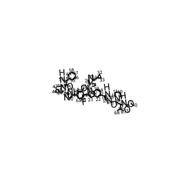 COC(=O)NC(C(=O)N1CCC[C@H]1c1ncc(-c2ccc3c(c2)cc2n3[C@H](c3cnc(C4CC4)s3)Oc3cc(-c4cnc([C@@H]5C[Si](C)(C)CN5C(=O)[C@H](N)C5C=CC=CC5)[nH]4)cc(F)c3-2)[nH]1)C(C)C